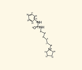 O=C(NCCCCCCN1C[CH]CC1)Nc1ccccc1